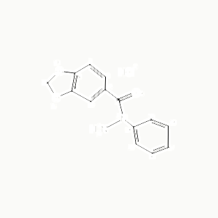 Cl.NN(C(=O)c1ccc2c(c1)OCO2)c1ccccc1